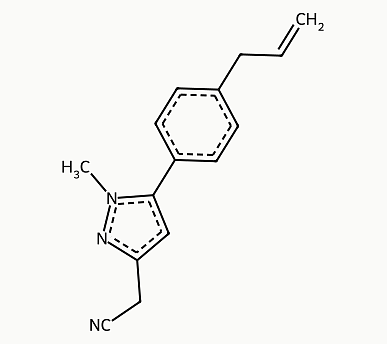 C=CCc1ccc(-c2cc(CC#N)nn2C)cc1